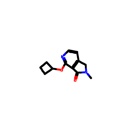 CN1Cc2ccnc(OC3CCC3)c2C1=O